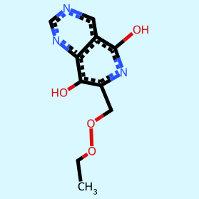 CCOOCc1nc(O)c2cncnc2c1O